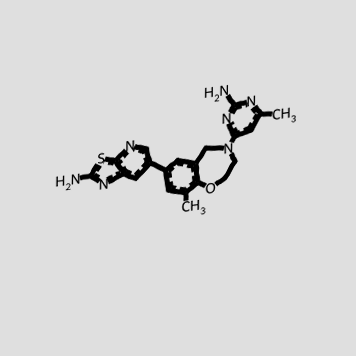 Cc1cc(N2CCOc3c(C)cc(-c4cnc5sc(N)nc5c4)cc3C2)nc(N)n1